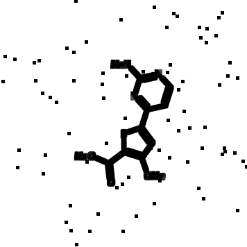 CNc1nccc(-c2cc(OC)c(C(=O)OC)s2)n1